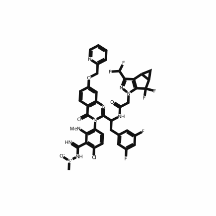 CNc1c(-n2c(C(Cc3cc(F)cc(F)c3)NC(=O)Cn3nc(C(F)F)c4c3C(F)(F)C3CC43)nc3cc(OCc4ccccn4)ccc3c2=O)ccc(Cl)c1C(=N)N[S+](C)[O-]